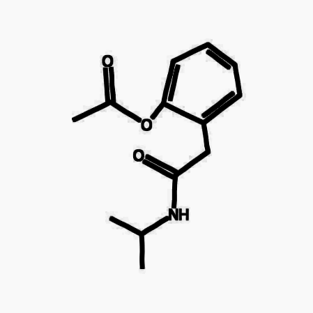 CC(=O)Oc1ccccc1CC(=O)NC(C)C